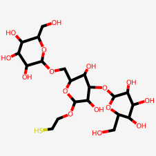 OCC1OC(OCC2OC(OCCS)C(O)C(OC3OC(CO)C(O)C(O)C3O)C2O)C(O)C(O)C1O